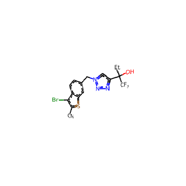 CCC(O)(c1cn(Cc2ccc3c(Br)c(C#N)sc3c2)nn1)C(F)(F)F